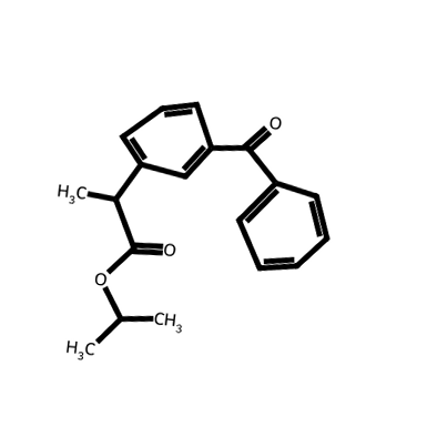 CC(C)OC(=O)C(C)c1cccc(C(=O)c2ccccc2)c1